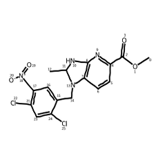 COC(=O)c1ccc2c(n1)NC(C)N2Cc1cc([N+](=O)[O-])c(Cl)cc1Cl